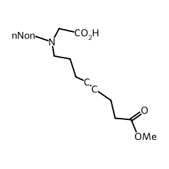 CCCCCCCCCN(CCCCCCCC(=O)OC)CC(=O)O